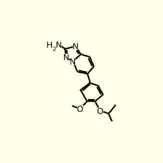 COc1cc(-c2ccc3nc(N)nn3c2)ccc1OC(C)C